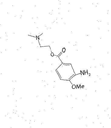 COc1ccc(C(=O)OCCN(C)C)cc1N